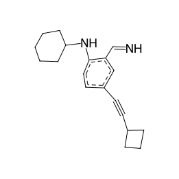 N=Cc1cc(C#CC2CCC2)ccc1NC1CCCCC1